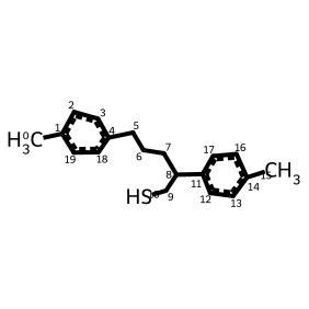 Cc1ccc(CCCC(CS)c2ccc(C)cc2)cc1